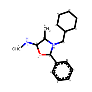 CC1C(NC=O)OC(c2ccccc2)N1CC1CCCCC1